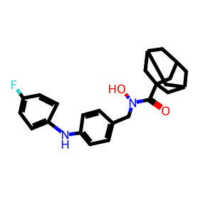 O=C(N(O)Cc1ccc(Nc2ccc(F)cc2)cc1)C12CC3CC(CC(C3)C1)C2